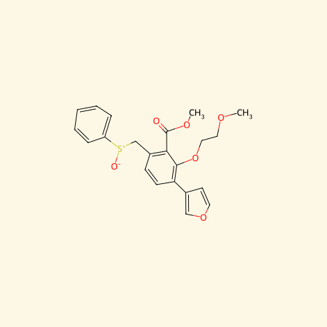 COCCOc1c(-c2ccoc2)ccc(C[S+]([O-])c2ccccc2)c1C(=O)OC